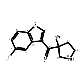 CCCC1(C(=O)c2csc3ccc(F)cc23)CCNC1